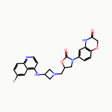 O=C1COc2ccc(N3CC(CN4CC(Nc5ccnc6ccc(F)cc56)C4)OC3=O)cc2N1